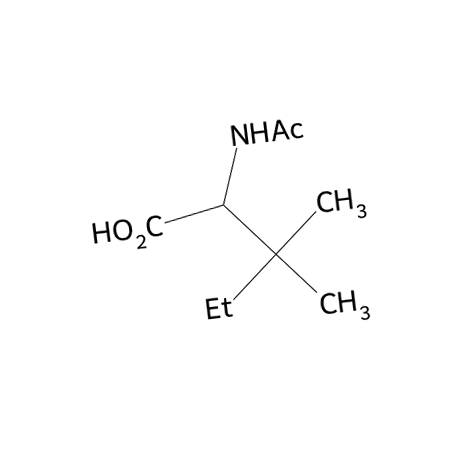 CCC(C)(C)C(NC(C)=O)C(=O)O